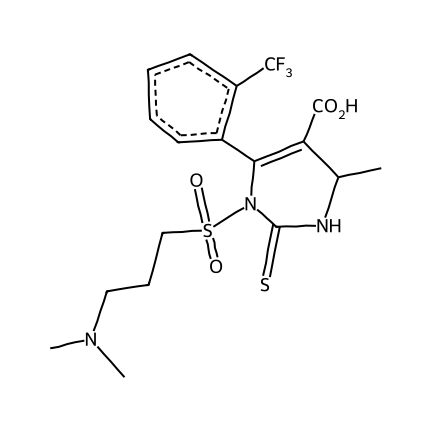 CC1NC(=S)N(S(=O)(=O)CCCN(C)C)C(c2ccccc2C(F)(F)F)=C1C(=O)O